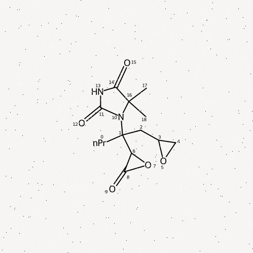 CCCC(CC1CO1)(C1OC1=O)N1C(=O)NC(=O)C1(C)C